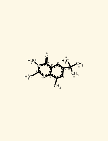 Bn1c(C)nc2c(C)cc(C(C)(C)C)cc2c1=O